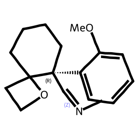 C/N=C\[C@]1(c2ccccc2OC)CCCCC12CCO2